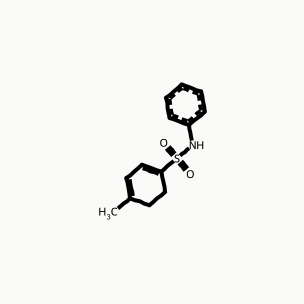 CC1=CC=C(S(=O)(=O)Nc2ccccc2)CC1